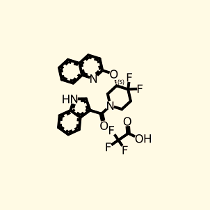 O=C(O)C(F)(F)F.O=C(c1c[nH]c2ccccc12)N1CCC(F)(F)[C@@H](Oc2ccc3ccccc3n2)C1